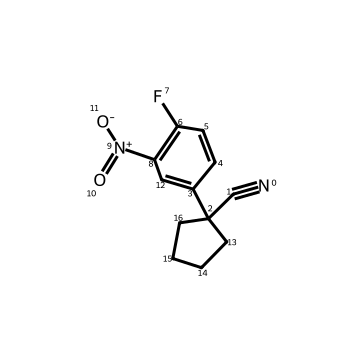 N#CC1(c2ccc(F)c([N+](=O)[O-])c2)CCCC1